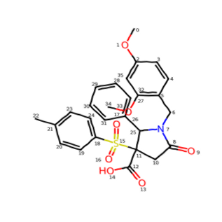 COc1ccc(CN2C(=O)CC(C(=O)O)(S(=O)(=O)c3ccc(C)cc3)C2c2ccccc2)c(OC)c1